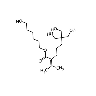 CC(C)=C(CCCC(CO)(CO)CO)C(=O)OCCCCCCO